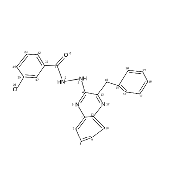 O=C(NNc1nc2ccccc2nc1Cc1ccccc1)c1cccc(Cl)c1